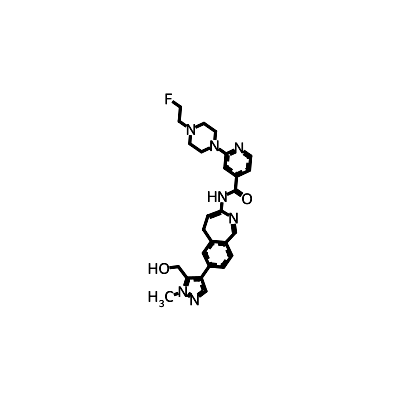 Cn1ncc(-c2ccc3c(c2)CC=C(NC(=O)c2ccnc(N4CCN(CCF)CC4)c2)N=C3)c1CO